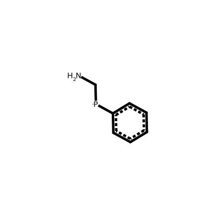 NC[P]c1ccccc1